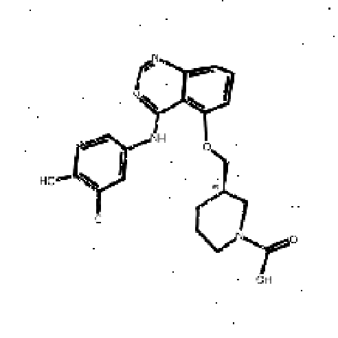 O=C(O)N1CCC[C@@H](COc2cccc3ncnc(Nc4ccc(O)c(Cl)c4)c23)C1